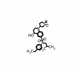 CCc1ccc(N(CC(C)C)S(=O)(=O)c2ccc3c(c2)C(O)CCN3C2CCS(=O)(=O)C2)cc1